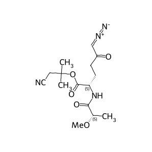 CO[C@@H](C)C(=O)N[C@@H](CCC(=O)C=[N+]=[N-])C(=O)OC(C)(C)CC#N